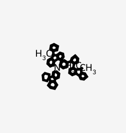 CC1(C)c2ccccc2-c2cccc(-c3ccccc3-c3ccc(N(c4ccc5c(c4)C4(CCCCC4)c4ccccc4-5)c4cccc5c4-c4ccccc4C5(C)c4ccccc4)cc3)c21